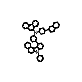 C1=C(c2ccc3ccccc3c2)CCC(N(c2cccc(-c3cccc4c3c3c5ccccc5ccc3n4-c3ccccc3)c2)c2cc3ccccc3c3ccccc23)=C1